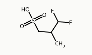 CC(CS(=O)(=O)O)C(F)F